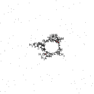 C=C1C[C@@H]2CC[C@]34C[C@H]5OC(O3)[C@@H]5[C@H]3C[C@@H](O4)[C@H]4O[C@H](CC[C@@H]4O3)CC(=O)C[C@@H]3[C@@H](OC)[C@@H](C[C@H](O)CN)O[C@H]3C[C@H]3O[C@@H](CC[C@@H]1O2)C[C@@H](C)C3=C